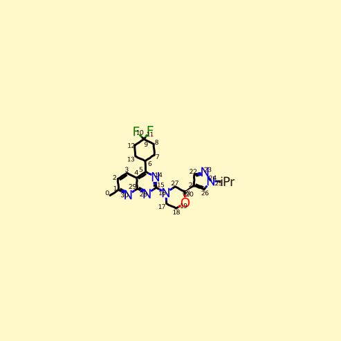 Cc1ccc2c(C3CCC(F)(F)CC3)nc(N3CCO[C@H](c4cnn(C(C)C)c4)C3)nc2n1